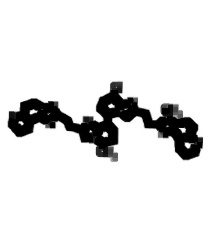 Cc1ccc(-c2ccc(Cl)c3nc(CCc4nc5c6cccnc6ccc5n4C)cn23)c2nc(CCc3nc4c5cccnc5ccn4n3)cn12